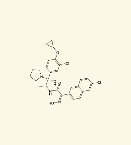 C[C@@H](NC(=O)C(=NO)c1ccc2cc(Cl)ccc2c1)[C@](O)(c1ccc(OC2CC2)c(Cl)c1)N1CCCC1